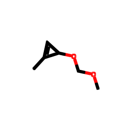 COCOC1C=C1C